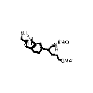 COCCCC(CNC=O)c1ccc2nc(CN)[nH]c2c1